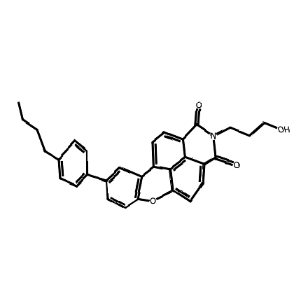 CCCCc1ccc(-c2ccc3oc4ccc5c(=O)n(CCCO)c(=O)c6ccc(c3c2)c4c56)cc1